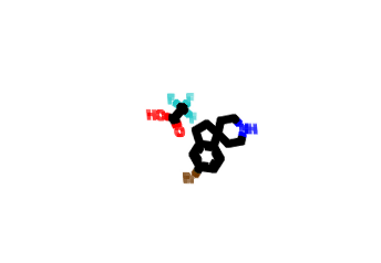 Brc1ccc2c(c1)CCC21CCNCC1.O=C(O)C(F)(F)F